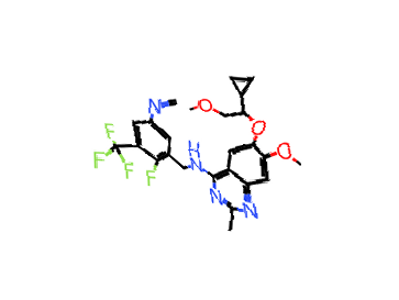 C=Nc1cc(CNc2nc(C)nc3cc(OC)c(OC(COC)C4CC4)cc23)c(F)c(C(F)(F)F)c1